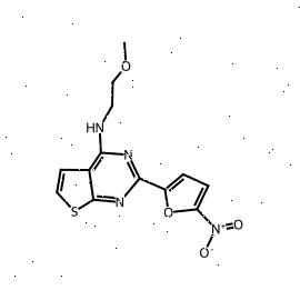 COCCNc1nc(-c2ccc([N+](=O)[O-])o2)nc2sccc12